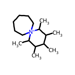 CC1C(C)C(C)[N+]2(CCCCCC2)C(C)C1C